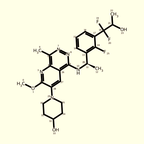 COc1nc2c(C)nnc(N[C@H](C)c3cccc(C(F)(F)C(C)O)c3F)c2cc1N1CCC(O)CC1